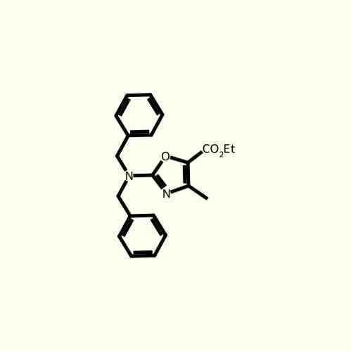 CCOC(=O)c1oc(N(Cc2ccccc2)Cc2ccccc2)nc1C